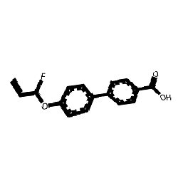 C=CC(F)Oc1ccc(-c2ccc(C(=O)O)cc2)cc1